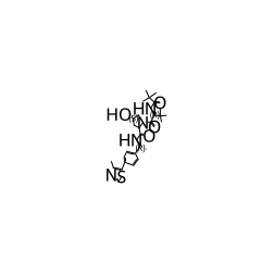 Cc1ncsc1-c1ccc([C@@H](C)NC(=O)C2C[C@H](O)CN2C(=O)[C@H](NC(=O)C(C)(C)C)C(C)(C)C)cc1